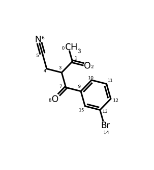 CC(=O)C(CC#N)C(=O)c1cccc(Br)c1